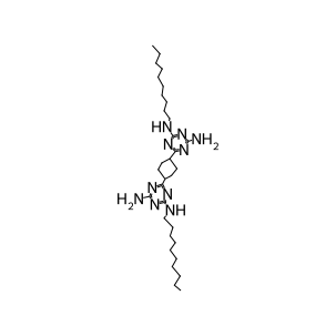 CCCCCCCCCCNc1nc(N)nc(C2CCC(c3nc(N)nc(NCCCCCCCCCC)n3)CC2)n1